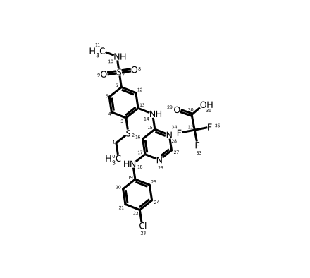 CCSc1ccc(S(=O)(=O)NC)cc1Nc1cc(Nc2ccc(Cl)cc2)ncn1.O=C(O)C(F)(F)F